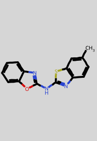 Cc1ccc2nc(Nc3nc4ccccc4o3)sc2c1